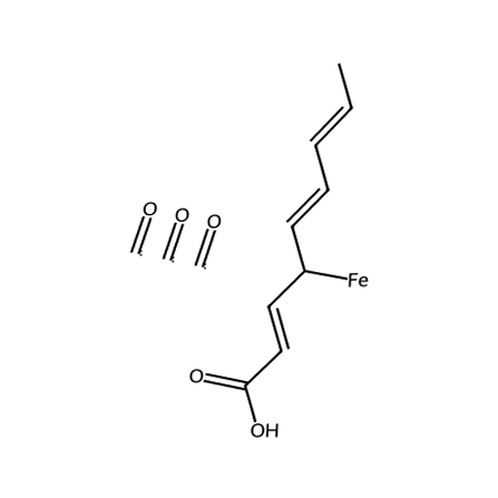 CC=CC=C[CH]([Fe])C=CC(=O)O.[C]=O.[C]=O.[C]=O